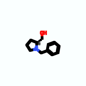 OC[C@H]1CCCN1Cc1ccccc1